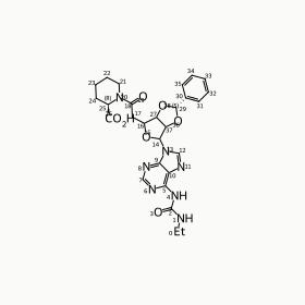 CCNC(=O)Nc1ncnc2c1ncn2C1OC(CC(=O)N2CCCC[C@@H]2C(=O)O)C2O[C@H](c3ccccc3)OC21